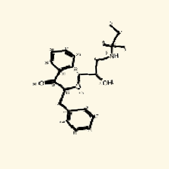 CCC(C)(C)NCC(O)COC(Cc1ccccc1)C(=O)c1ccccc1